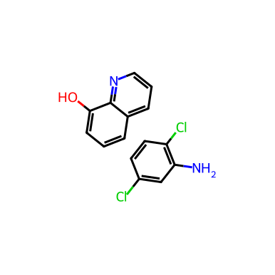 Nc1cc(Cl)ccc1Cl.Oc1cccc2cccnc12